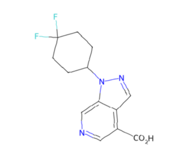 O=C(O)c1cncc2c1cnn2C1CCC(F)(F)CC1